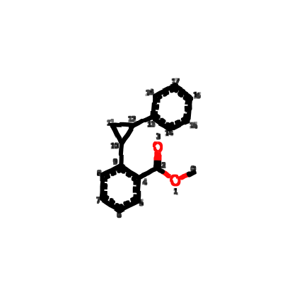 COC(=O)c1ccccc1C1CC1c1ccccc1